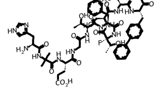 C[C@H](NC(=O)[C@H](Cc1ccc(-c2ccccc2)cc1)NC(=O)[C@H](CC(=O)O)NC(=O)[C@H](CO)NC(=O)[C@@](F)(NC(=O)[C@H](Cc1ccccc1)NC(=O)[C@@H](NC(=O)CNC(=O)[C@H](CCC(=O)O)NC(=O)C(C)(C)NC(=O)[C@@H](N)Cc1c[nH]cn1)[C@@H](C)O)[C@@H](C)O)C(=O)O